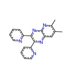 Cc1cc2nc(-c3ccccn3)c(-c3ccccn3)nc2nc1C